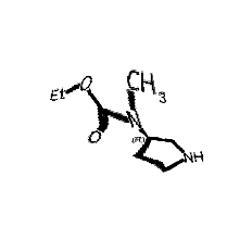 CCOC(=O)N(C)[C@@H]1CCNC1